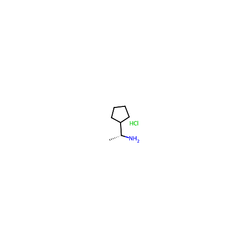 C[C@@H](N)C1CCCC1.Cl